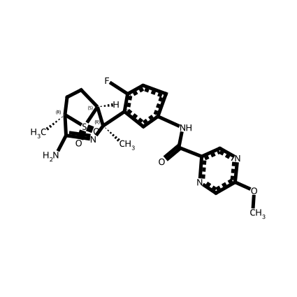 COc1cnc(C(=O)Nc2ccc(F)c([C@@]3(C)N=C(N)[C@@]4(C)CC[C@@H]3S4(=O)=O)c2)cn1